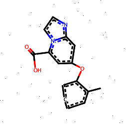 Cc1ccccc1Oc1cc(C(=O)O)n2ccnc2c1